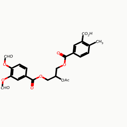 CC(=O)OC(COC(=O)c1ccc(OC=O)c(OC=O)c1)COC(=O)c1ccc(C)c(C(=O)O)c1